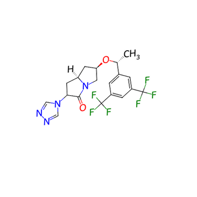 C[C@@H](O[C@@H]1C[C@@H]2CC(n3cnnc3)C(=O)N2C1)c1cc(C(F)(F)F)cc(C(F)(F)F)c1